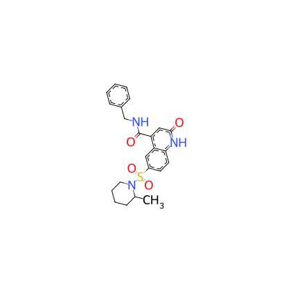 CC1CCCCN1S(=O)(=O)c1ccc2[nH]c(=O)cc(C(=O)NCc3ccccc3)c2c1